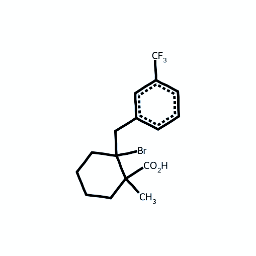 CC1(C(=O)O)CCCCC1(Br)Cc1cccc(C(F)(F)F)c1